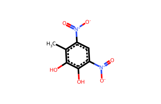 Cc1c([N+](=O)[O-])cc([N+](=O)[O-])c(O)c1O